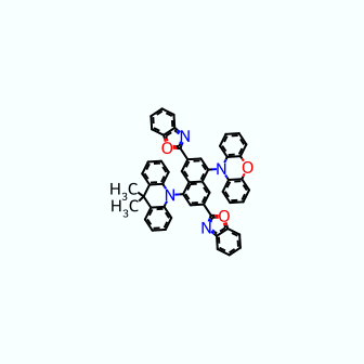 CC1(C)c2ccccc2N(c2cc(-c3nc4ccccc4o3)cc3c(N4c5ccccc5Oc5ccccc54)cc(-c4nc5ccccc5o4)cc23)c2ccccc21